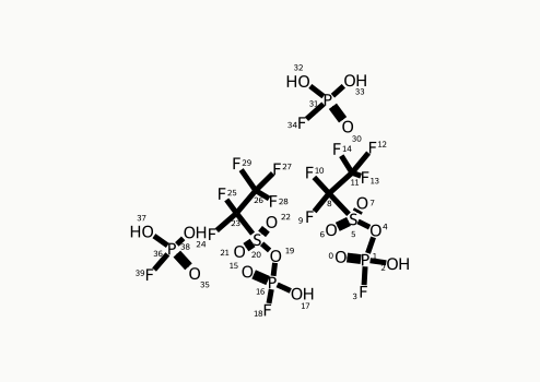 O=P(O)(F)OS(=O)(=O)C(F)(F)C(F)(F)F.O=P(O)(F)OS(=O)(=O)C(F)(F)C(F)(F)F.O=P(O)(O)F.O=P(O)(O)F